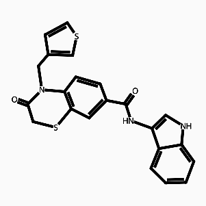 O=C(Nc1c[nH]c2ccccc12)c1ccc2c(c1)SCC(=O)N2Cc1ccsc1